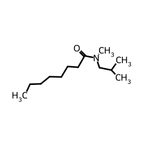 CCCCCCCC(=O)N(C)CC(C)C